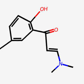 Cc1ccc(O)c(C(=O)/C=C/N(C)C)c1